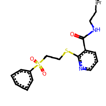 CC(C)CCNC(=O)c1cccnc1SCCS(=O)(=O)c1ccccc1